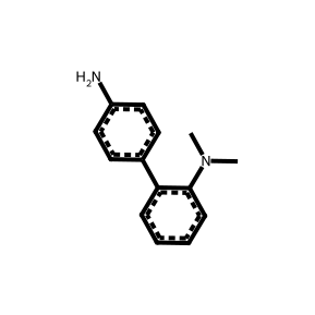 CN(C)c1ccccc1-c1ccc(N)cc1